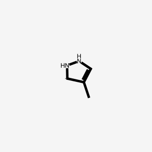 CC1=CNN[CH]1